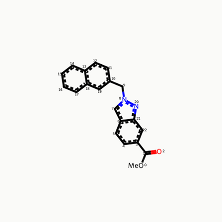 COC(=O)c1ccc2cn(Cc3ccc4ccccc4c3)nc2c1